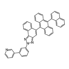 c1cncc(-c2cccc(-n3nc4cc(-c5c6ccccc6c(-c6cccc7ccccc67)c6ccccc56)c5ccccc5c4n3)c2)c1